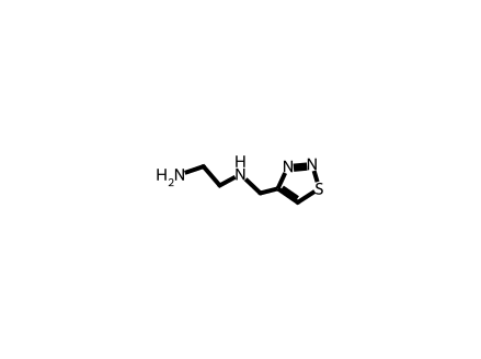 NCCNCc1csnn1